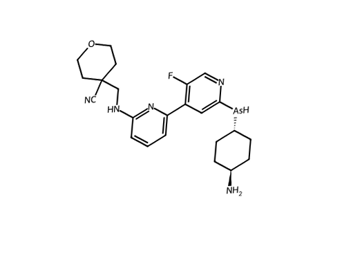 N#CC1(CNc2cccc(-c3cc([AsH][C@H]4CC[C@H](N)CC4)ncc3F)n2)CCOCC1